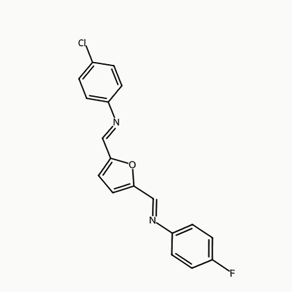 Fc1ccc(N=Cc2ccc(C=Nc3ccc(Cl)cc3)o2)cc1